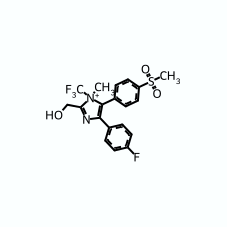 C[N+]1(C(F)(F)F)C(CO)=NC(c2ccc(F)cc2)=C1c1ccc(S(C)(=O)=O)cc1